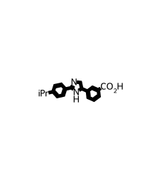 CC(C)c1ccc(C2=NCC(c3cccc(C(=O)O)c3)N2)cc1